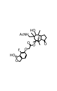 CC(=O)NCC1(C)CC(OC(=O)COc2ccc3c(c2F)B(O)OC3)C2(C)C(C)CCC3(CCC(=O)C32)C(C)C1O